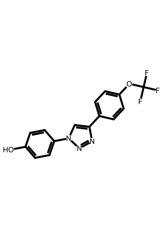 Oc1ccc(-n2cc(-c3ccc(OC(F)(F)F)cc3)nn2)cc1